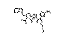 CCCCO/N=C(\C(=O)N[C@@H]1C(=O)N2C(C(=O)[O-])=C(Cn3cc[n+]4ccccc34)CS[C@@H]12)c1csc(N)n1